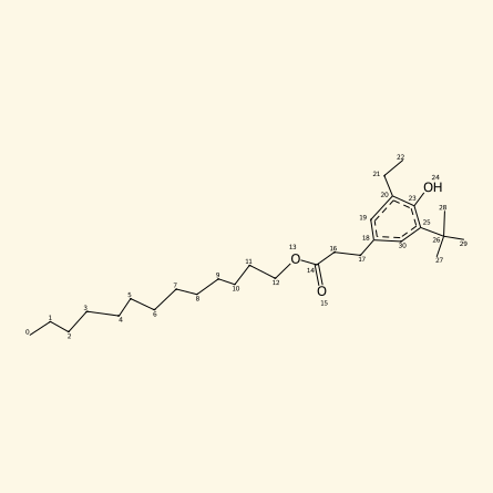 CCCCCCCCCCCCCOC(=O)CCc1cc(CC)c(O)c(C(C)(C)C)c1